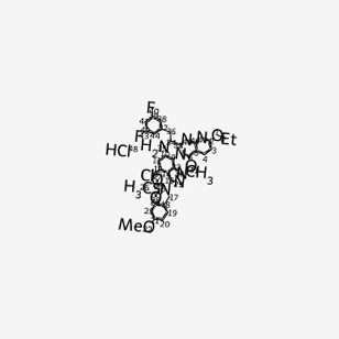 CCOc1ccc2c(=O)n(-c3ccc(Cl)c4c(N(Cc5ccc(OC)cc5)S(C)(=O)=O)nn(C)c34)c(C(N)Cc3cc(F)cc(F)c3)nc2n1.Cl